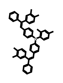 Cc1ccc(N(c2ccc(C=C(c3ccccc3)c3ccc(C)c(C)c3)cc2)c2ccc(C=C(c3ccccc3)c3ccc(C)c(C)c3)cc2)c(C)c1